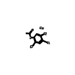 CC(=O)Oc1cc(Cl)c(Cl)cc1Cl.[Cu]